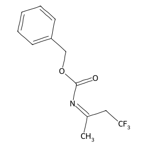 CC(CC(F)(F)F)=NC(=O)OCc1ccccc1